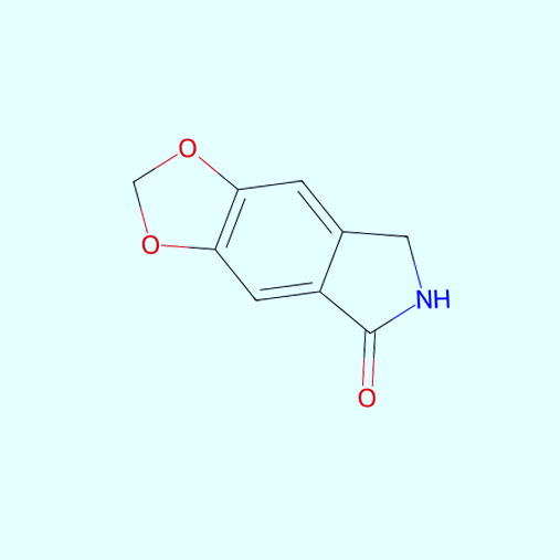 O=C1NCc2cc3c(cc21)OCO3